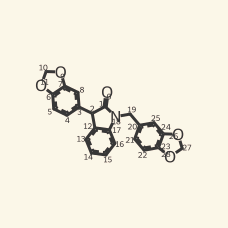 O=C1C(c2ccc3c(c2)OCO3)c2ccccc2N1Cc1ccc2c(c1)OCO2